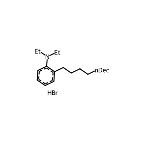 Br.CCCCCCCCCCCCCCc1ccccc1N(CC)CC